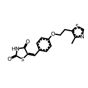 Cc1ncsc1CCOc1ccc(C=C2SC(=O)NC2=O)cc1